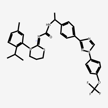 Cc1ccc(C(C)C)c(N2CCCS/C2=N\C(=O)NC(C)c2ccc(-c3ncn(-c4ccc(OC(F)(F)F)cc4)n3)cc2)c1